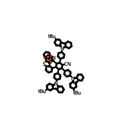 CC(C)(C)c1ccc2c(c1)c1ccccc1n2-c1ccc(-c2c(C#N)c(-c3ccc(-n4c5ccccc5c5cc(C(C)(C)C)ccc54)cc3)c(-c3nc4ccccc4o3)c(-c3cccc4sc5ccccc5c34)c2-c2ccc(-n3c4ccccc4c4cc(C(C)(C)C)ccc43)cc2)cc1